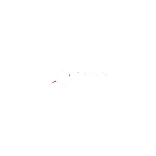 CCCCCSC1CCC(=O)CC1